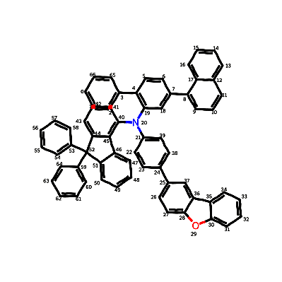 c1ccc(-c2ccc(-c3cccc4ccccc34)cc2N(c2ccc(-c3ccc4oc5ccccc5c4c3)cc2)c2cccc3c2-c2ccccc2C3(c2ccccc2)c2ccccc2)cc1